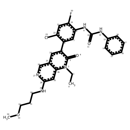 CCn1c(=O)c(-c2cc(NC(=O)Nc3ccccc3)c(F)cc2Cl)cc2cnc(NCCCOC)cc21